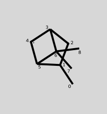 CC1CC2[C]C1C2(C)C